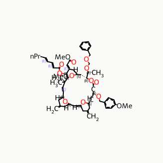 C=C1C[C@@H]2C[C@@H]3CC(=C)C[C@H](/C=C/C(C)(C)[C@]4(OC)O[C@@H](C/C(=C\C(=O)OC)[C@@H]4OC(=O)/C=C/C=C/CCC)C[C@H]([C@@H](C)OCOCc4ccccc4)OC(=O)C[C@H](OCc4ccc(OC)cc4)C[C@H](C1)O2)O3